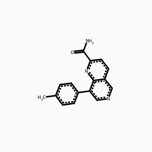 Cc1ccc(-c2cncc3ccc(C(N)=O)nc23)cc1